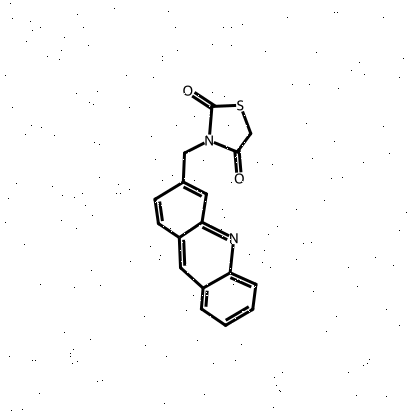 O=C1CSC(=O)N1Cc1ccc2cc3ccccc3nc2c1